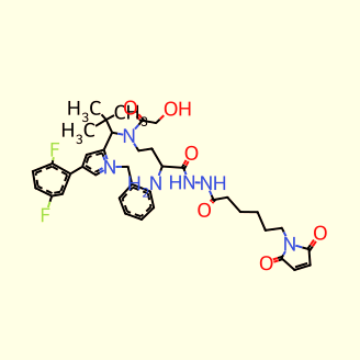 CC(C)(C)C(c1cc(-c2cc(F)ccc2F)cn1Cc1ccccc1)N(CCC(N)C(=O)NNC(=O)CCCCCN1C(=O)C=CC1=O)C(=O)CO